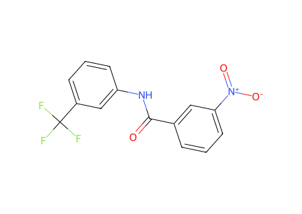 O=C(Nc1cccc(C(F)(F)F)c1)c1cccc([N+](=O)[O-])c1